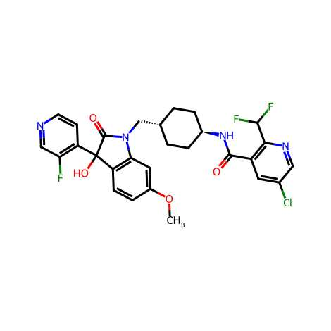 COc1ccc2c(c1)N(C[C@H]1CC[C@H](NC(=O)c3cc(Cl)cnc3C(F)F)CC1)C(=O)C2(O)c1ccncc1F